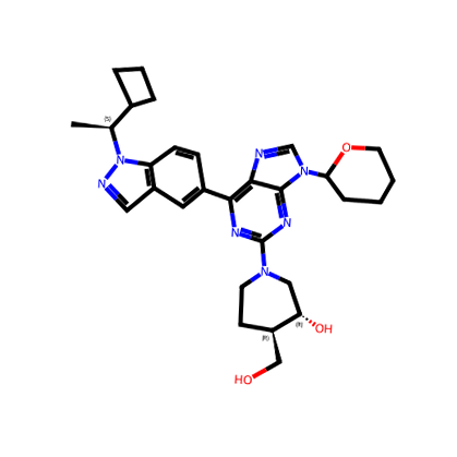 C[C@@H](C1CCC1)n1ncc2cc(-c3nc(N4CC[C@H](CO)[C@@H](O)C4)nc4c3ncn4C3CCCCO3)ccc21